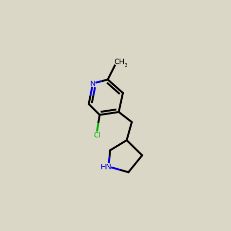 Cc1cc(CC2CCNC2)c(Cl)cn1